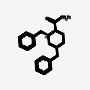 CCOC(=O)C(=O)N1CCN(Cc2ccccc2)C[C@H]1Cc1ccccc1